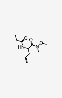 C=CCC(NC(=O)CC)C(=O)N(C)OC